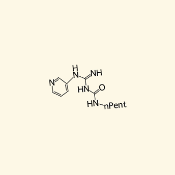 CCCCCNC(=O)NC(=N)Nc1cccnc1